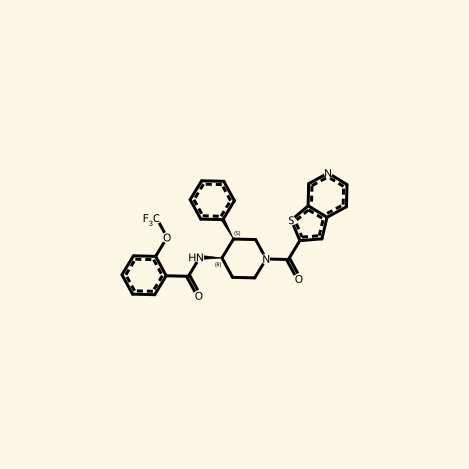 O=C(N[C@@H]1CCN(C(=O)c2cc3ccncc3s2)C[C@@H]1c1ccccc1)c1ccccc1OC(F)(F)F